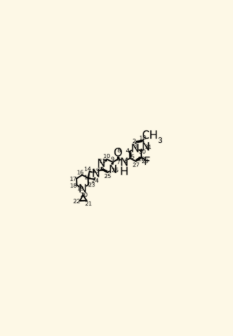 Cc1cn2cc(NC(=O)c3cnc(N4CC5(CCCN(C6CC6)C5)C4)cn3)cc(F)c2n1